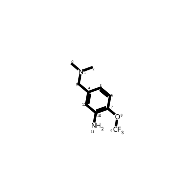 CN(C)Cc1ccc(OC(F)(F)F)c(N)c1